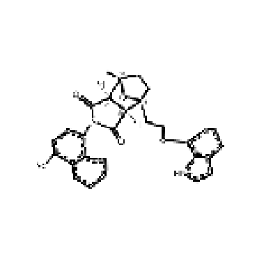 C[C@@]12CC[C@@](CCOc3cccc4cc[nH]c34)(O1)[C@H]1C(=O)N(c3ccc(C#N)c4ccccc34)C(=O)[C@H]12